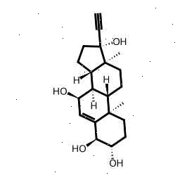 C#C[C@]1(O)CC[C@H]2[C@@H]3[C@H](O)C=C4[C@H](O)[C@@H](O)CC[C@]4(C)[C@H]3CC[C@@]21C